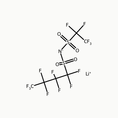 O=S(=O)([N-]S(=O)(=O)C(F)(F)C(F)(F)C(F)(F)C(F)(F)F)C(F)(F)C(F)(F)F.[Li+]